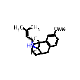 COc1ccc2c(c1)[C@@]1(C)CCCC(C2)[C@H]1NCC=C(C)C